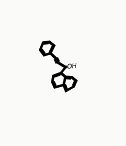 OC(C#Cc1ccccc1)c1cccc2ccccc12